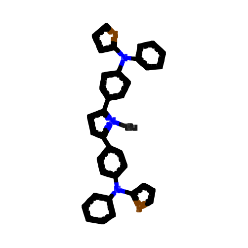 CC(C)(C)n1c(-c2ccc(N(c3ccccc3)c3cccs3)cc2)ccc1-c1ccc(N(c2ccccc2)c2cccs2)cc1